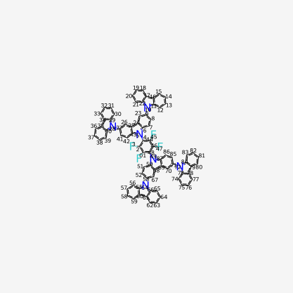 Fc1c(F)c(-n2c3ccc(-n4c5ccccc5c5ccccc54)cc3c3cc(-n4c5ccccc5c5ccccc54)ccc32)c(F)c(F)c1-n1c2ccc(-n3c4ccccc4c4ccccc43)cc2c2cc(-n3c4ccccc4c4ccccc43)ccc21